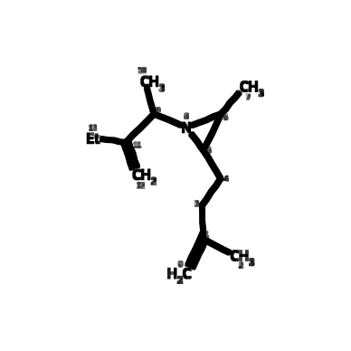 C=C(C)CCC1C(C)N1C(C)C(=C)CC